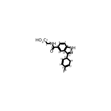 O=C(O)CNC(=O)c1ccc2[nH]nc(C3C=CC(F)=CC3)c2c1